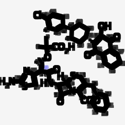 CC(C)(O/N=C(\C(=O)N[C@@H]1C(=O)N2C(C(=O)[O-])=C(C[n+]3ccccc3)CS[C@H]12)c1csc(N)n1)C(=O)O.O=C1C(O)=C([C@H]2CC[C@H](c3ccc(Cl)cc3)CC2)C(=O)c2ccccc21